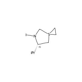 CC(C)[C@H]1CS2(CC2)CN1I